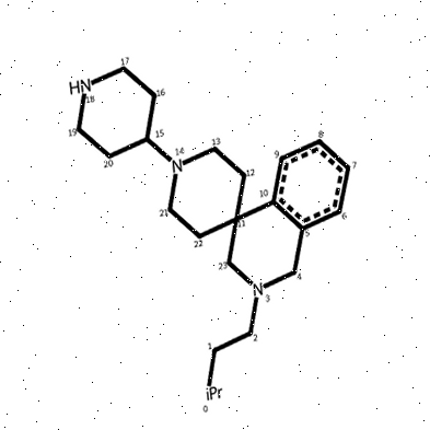 CC(C)CCN1Cc2ccccc2C2(CCN(C3CCNCC3)CC2)C1